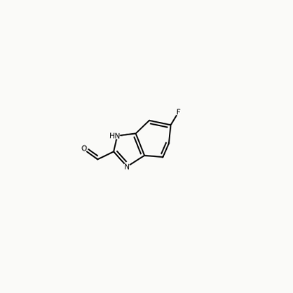 O=Cc1nc2ccc(F)cc2[nH]1